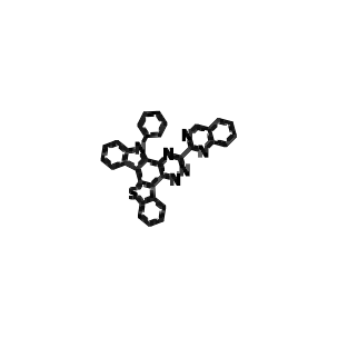 c1ccc(-n2c3ccccc3c3c4sc5ccccc5c4c4nnc(-c5ncc6ccccc6n5)nc4c32)cc1